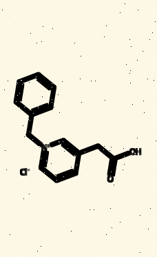 O=C(O)Cc1ccc[n+](Cc2ccccc2)c1.[Cl-]